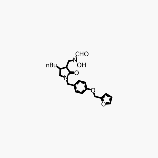 CCCCC1CN(Cc2ccc(OCc3ccco3)cc2)C(=O)C1CN(O)C=O